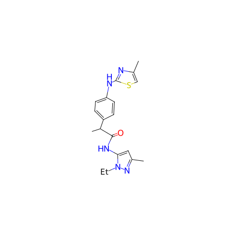 CCn1nc(C)cc1NC(=O)C(C)c1ccc(Nc2nc(C)cs2)cc1